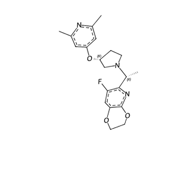 Cc1cc(O[C@@H]2CCN([C@H](C)c3nc4c(cc3F)OCCO4)C2)cc(C)n1